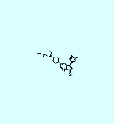 CCOCCN(CC)[C@H]1CC[C@@H](c2cnc3c(c2)c(-c2cnn(C)c2)cn3S)CC1